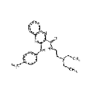 CCN(CC)CCNC(=O)c1nc2ccccc2nc1Nc1ccc(C)cc1